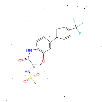 CS(=O)(=O)N[C@H]1COc2cc(-c3ccc(C(F)(F)F)cc3)ccc2NC1=O